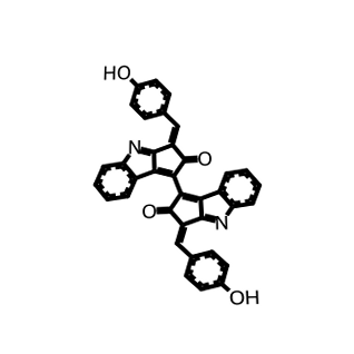 O=C1C(C2=C3C(=Nc4ccccc43)/C(=C\c3ccc(O)cc3)C2=O)=C2C(=Nc3ccccc32)/C1=C\c1ccc(O)cc1